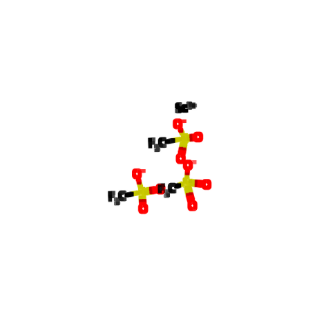 O=S(=O)([O-])C(F)(F)F.O=S(=O)([O-])C(F)(F)F.O=S(=O)([O-])C(F)(F)F.[Sc+3]